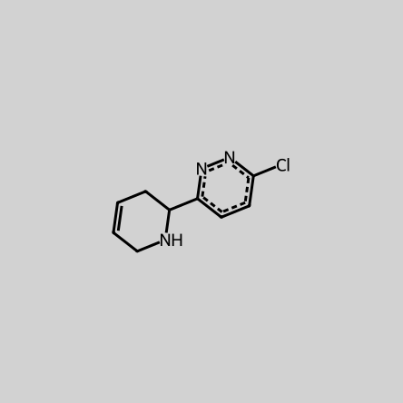 Clc1ccc(C2CC=CCN2)nn1